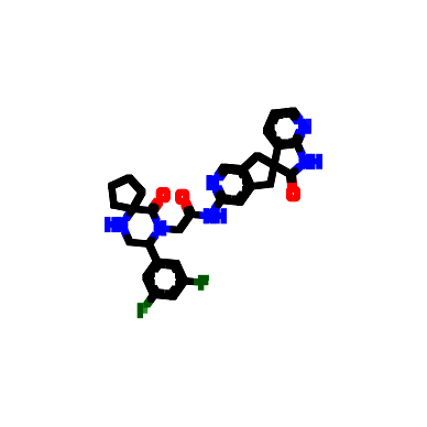 O=C(CN1C(=O)C2(CCCC2)NCC1c1cc(F)cc(F)c1)Nc1cc2c(cn1)CC1(C2)C(=O)Nc2ncccc21